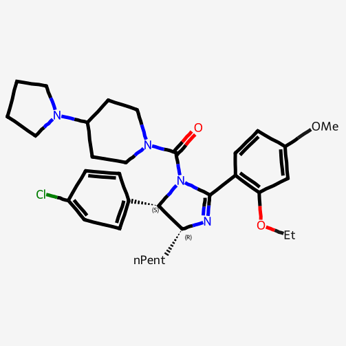 CCCCC[C@H]1N=C(c2ccc(OC)cc2OCC)N(C(=O)N2CCC(N3CCCC3)CC2)[C@H]1c1ccc(Cl)cc1